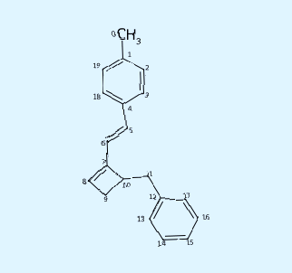 Cc1ccc(C=CC2=CCC2Cc2ccccc2)cc1